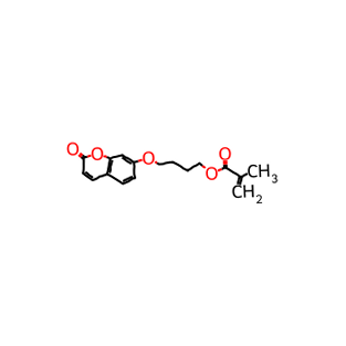 C=C(C)C(=O)OCCCCOc1ccc2ccc(=O)oc2c1